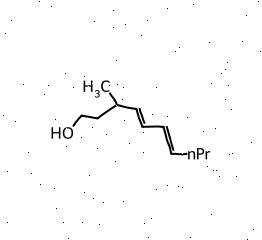 CCCC=CC=CC(C)CCO